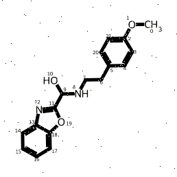 COc1ccc(CCNC(O)c2nc3ccccc3o2)cc1